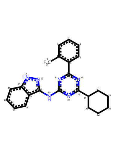 FC(F)(F)c1ccccc1-c1nc(Nc2n[nH]c3ccccc23)nc(C2CCCCC2)n1